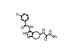 CC(C)NC(=O)NN1CCc2n[nH]c(NC(=O)c3cccc(F)c3)c2C1